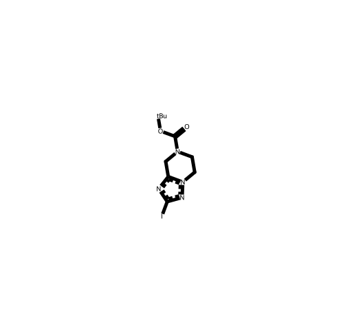 CC(C)(C)OC(=O)N1CCn2nc(I)nc2C1